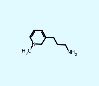 CN1C=CC=C(CCCN)C1